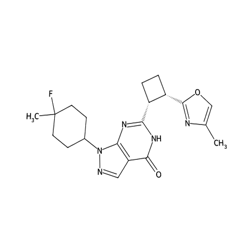 Cc1coc([C@H]2CC[C@H]2c2nc3c(cnn3C3CCC(C)(F)CC3)c(=O)[nH]2)n1